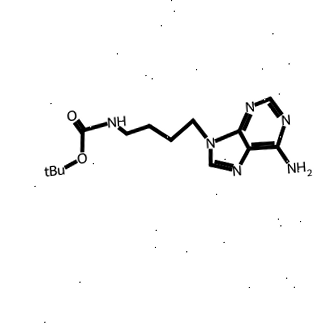 CC(C)(C)OC(=O)NCCCCn1cnc2c(N)ncnc21